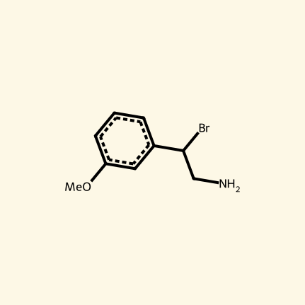 COc1cccc(C(Br)CN)c1